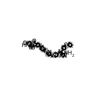 Nc1ncnc2c1c(-c1ccc(Oc3ccccc3)cc1)nn2C1CCN(Cc2cnc(N3CC4(CCN(c5ccc6c(c5)C(=O)N(C5CCC(=O)NC5=O)C6=O)CC4)C3)nc2)CC1